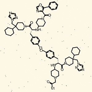 CCC(=O)CN1CCC(N[C@H](Cc2ccc(Cl)cc2)C(=O)N2CCC(Cn3cncn3)(C3CCCCC3)CC2)CC1.O=C(c1ncoc1-c1ccccc1)N1CCC(N[C@H](Cc2ccc(Cl)cc2)C(=O)N2CCC(Cn3cncn3)(C3CCCCC3)CC2)CC1